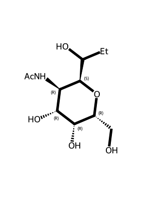 CC[C](O)[C@H]1O[C@H](CO)[C@H](O)[C@H](O)[C@H]1NC(C)=O